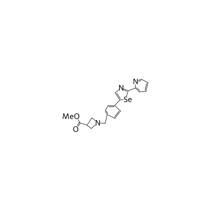 COC(=O)C1CN(Cc2ccc(-c3cnc(-c4ccccn4)[se]3)cc2)C1